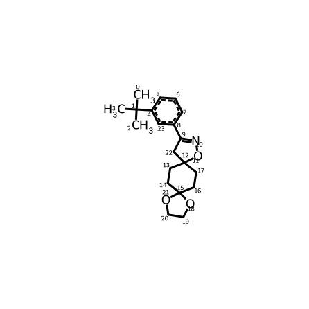 CC(C)(C)c1cccc(C2=NOC3(CCC4(CC3)OCCO4)C2)c1